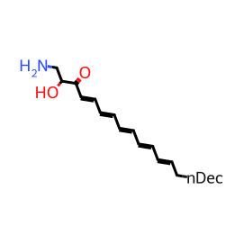 CCCCCCCCCCCC=CC=CC=CC=CC=CC(=O)C(O)CN